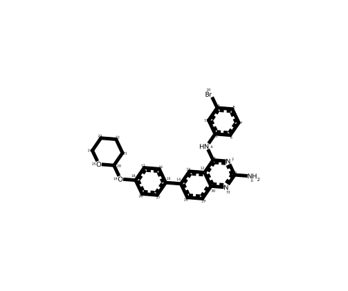 Nc1nc(Nc2cccc(Br)c2)c2cc(-c3ccc(OC4CCCCO4)cc3)ccc2n1